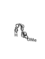 COC1C=C(C)C(S(=O)(=O)N(C)CCOCC(=O)N(C)C2CCC[C@H](N3CCNCC3)C2)=C(C)C1